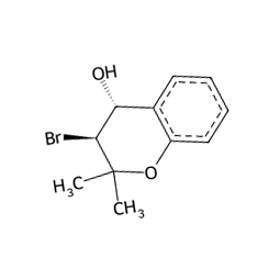 CC1(C)Oc2ccccc2[C@@H](O)[C@@H]1Br